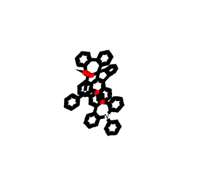 c1ccc(N(c2ccc3c(c2)-c2ccccc2N(c2ccccc2)c2ccccc2-3)c2ccc3c(c2)C2(c4ccccc4-c4ccccc4-3)c3ccccc3-c3c2c2ccccc2c2ccccc32)cc1